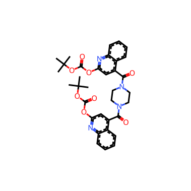 CC(C)(C)OC(=O)Oc1cc(C(=O)N2CCN(C(=O)c3cc(OC(=O)OC(C)(C)C)nc4ccccc34)CC2)c2ccccc2n1